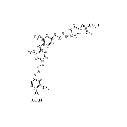 O=C(O)COc1ccc(SCCCc2ccc(Sc3ccc(CCCSc4ccc(OC(C(=O)O)C(F)(F)F)cc4)cc3C(F)(F)F)c(C(F)(F)F)c2)cc1C(F)(F)F